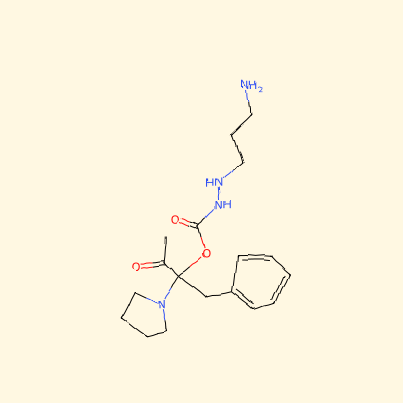 CC(=O)C(Cc1ccccc1)(OC(=O)NNCCCN)N1CCCC1